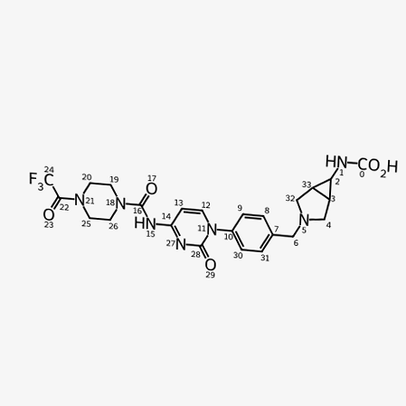 O=C(O)NC1C2CN(Cc3ccc(-n4ccc(NC(=O)N5CCN(C(=O)C(F)(F)F)CC5)nc4=O)cc3)CC21